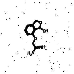 N=C(N)COc1cccc2c1B(O)OC2